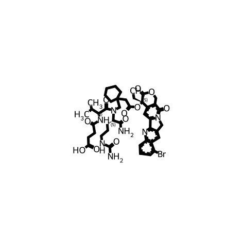 CC[C@@]1(OC(=O)CC2(CN(C(=O)[C@@H](NC(=O)CCC(=O)O)C(C)C)[C@@H](CCCNC(N)=O)C(N)=O)CCCCC2)C(=O)OCc2c1cc1n(c2=O)Cc2cc3c(Br)cccc3nc2-1